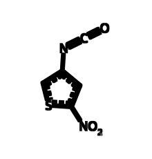 O=C=Nc1csc([N+](=O)[O-])c1